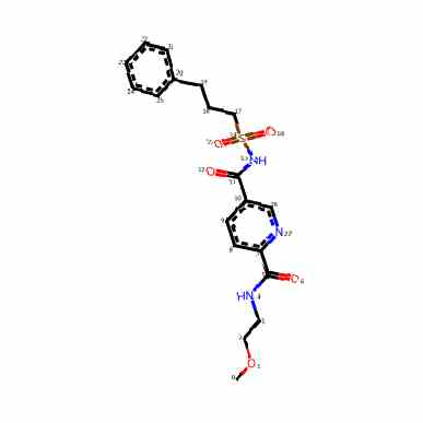 COCCNC(=O)c1ccc(C(=O)NS(=O)(=O)CCCc2ccccc2)cn1